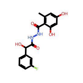 Cc1cc(O)cc(O)c1C(=O)NNC(=O)C(O)c1cccc(F)c1